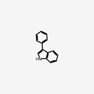 [c]1cccc2[nH]cc(-c3ccccc3)c12